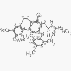 COc1cc2c(cc1OC)-c1c/c(=N\c3c(C)cc(C)cc3C)n(CCN/C(N)=N/[N+](=O)[O-])c(=O)n1CC2